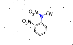 N#CN(c1ccccc1[N+](=O)[O-])[N+](=O)[O-]